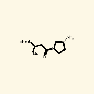 CCCCCC(CCCC)CC(=O)N1CC[C@@H](N)C1